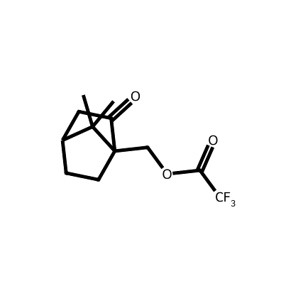 CC1(C)C2CCC1(COC(=O)C(F)(F)F)C(=O)C2